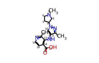 Cc1nn(C2CCN(C)C2)cc1Nc1c(C(=O)O)ccnc1C